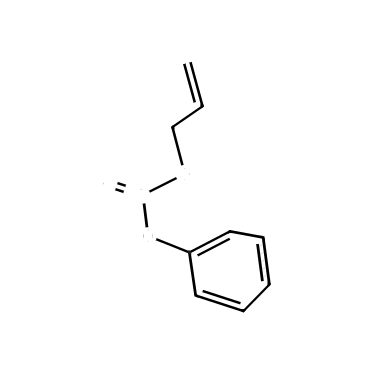 C=CCO[PH](=O)Oc1ccccc1